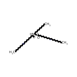 CCCCCCCC/C=C/CCCCCCCC(=O)NC(CCCCCCCCCC)COC(=O)CCCCCCC/C=C/CCCCCCCC